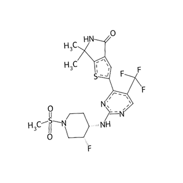 CC1(C)NC(=O)c2cc(-c3nc(N[C@H]4CCN(S(C)(=O)=O)C[C@H]4F)ncc3C(F)(F)F)sc21